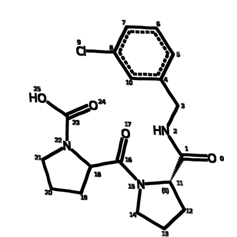 O=C(NCc1cccc(Cl)c1)[C@@H]1CCCN1C(=O)C1CCCN1C(=O)O